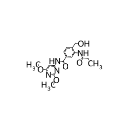 CCC(=O)Nc1cc(C(=O)Nc2cc(OC)nc(OC)n2)ccc1CO